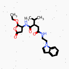 CCOC1OC(=O)CC1NC(=O)C(CC(=O)NCCn1ccc2ccccc21)C(C)C